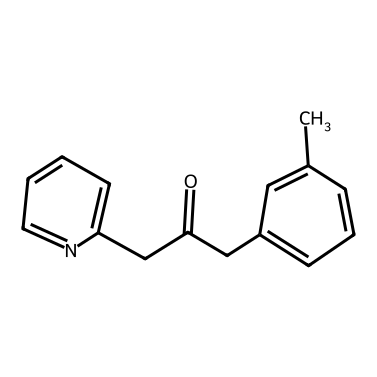 Cc1cccc(CC(=O)Cc2ccccn2)c1